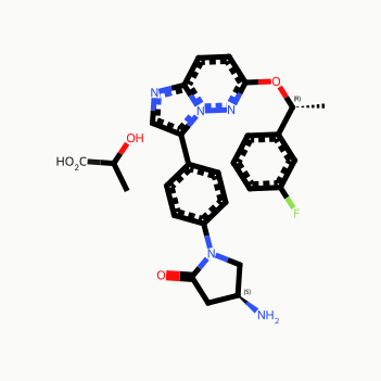 CC(O)C(=O)O.C[C@@H](Oc1ccc2ncc(-c3ccc(N4C[C@@H](N)CC4=O)cc3)n2n1)c1cccc(F)c1